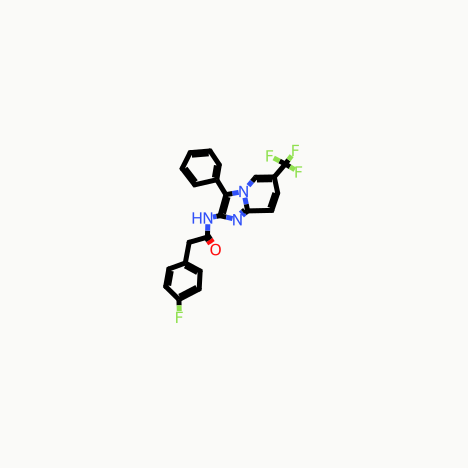 O=C(Cc1ccc(F)cc1)Nc1nc2ccc(C(F)(F)F)cn2c1-c1ccccc1